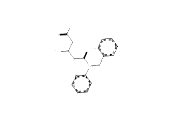 CC(=O)CC(C)CC(=O)N(Cc1ccccc1)c1ccccc1